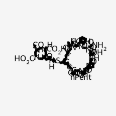 CCCCCC(=O)N[C@H]1CSCc2cc(CSCCNC(=O)CN3CCN(CC(=O)O)CCN(CC(=O)O)CCN(CC(=O)O)CC3)cc(c2)CSC[C@@H](C(=O)N(C)CC(=O)O)NC(=O)[C@H](Cc2ccccc2)NC(=O)[C@H](CCC(N)=O)NC(=O)[C@H]([C@@H](C)O)NC(=O)[C@@H]2CCCN2C(=O)[C@@H]2CCCN2C1O